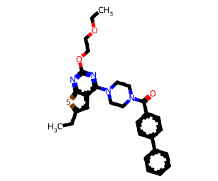 CCOCCOc1nc(N2CCN(C(=O)c3ccc(-c4ccccc4)cc3)CC2)c2cc(CC)sc2n1